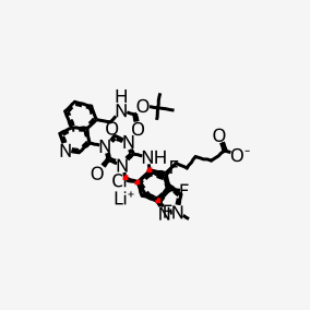 Cn1cc2c(CCCCC(=O)[O-])c(Nc3nc(=O)n(-c4cncc5cccc(CNC(=O)OC(C)(C)C)c45)c(=O)n3Cc3cc(F)c(F)c(F)c3)c(Cl)cc2n1.[Li+]